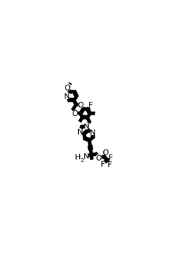 COc1ccc(C2COc3c(C)c(Cn4cnc5cc(C#CC(C)(N)COC(=O)C(F)(F)F)cnc54)c(C)c(F)c3O2)cn1